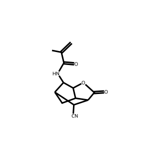 C=C(C)C(=O)NC1C2CC3C1OC(=O)C3C2C#N